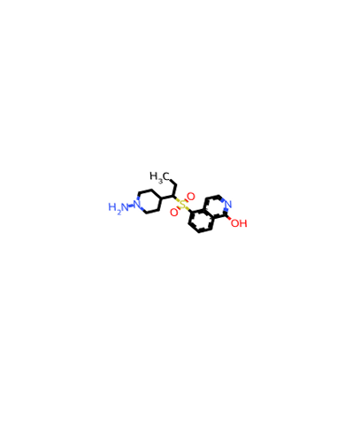 CCC(C1CCN(N)CC1)S(=O)(=O)c1cccc2c(O)nccc12